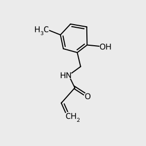 C=CC(=O)NCc1cc(C)ccc1O